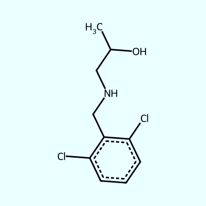 CC(O)CNCc1c(Cl)cccc1Cl